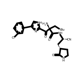 CC(C)(C)C[C@](N)(C(=O)N[C@H](C#N)C[C@@H]1CCNC1=O)C(=O)c1nc(-c2cccc(Cl)c2)c[nH]1